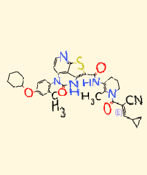 CC1=C(NC(=O)c2sc3nccc4c3c2NC(=O)N4c2ccc(OC3CCCCC3)cc2C)CCCN1C(=O)/C(C#N)=C/C1CC1